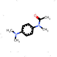 CC(=O)N(C)c1ccc(N(C)C)cc1